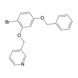 Brc1ccc(OCc2ccccc2)cc1OCc1cccnc1